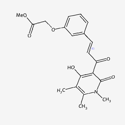 COC(=O)COc1cccc(/C=C/C(=O)c2c(O)c(C)c(C)n(C)c2=O)c1